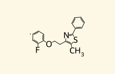 Cc1sc(-c2ccccc2)nc1CCOc1cc[c]cc1F